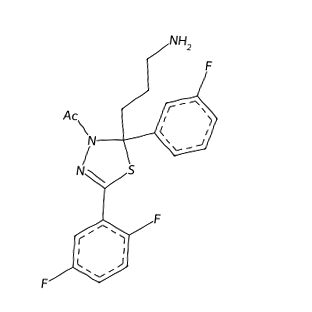 CC(=O)N1N=C(c2cc(F)ccc2F)SC1(CCCN)c1cccc(F)c1